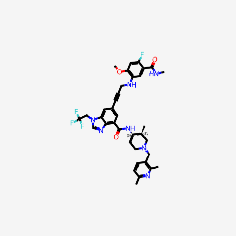 CNC(=O)c1cc(NCC#Cc2cc(C(=O)N[C@H]3CCN(Cc4ccc(C)nc4C)C[C@@H]3C)c3ncn(CC(F)(F)F)c3c2)c(OC)cc1F